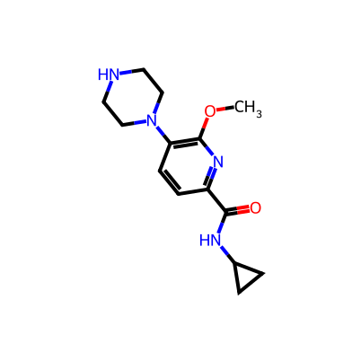 COc1nc(C(=O)NC2CC2)ccc1N1CCNCC1